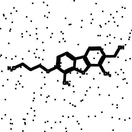 CCCCOc1ccc2c(oc3c(C)c(CO)ccc32)c1C